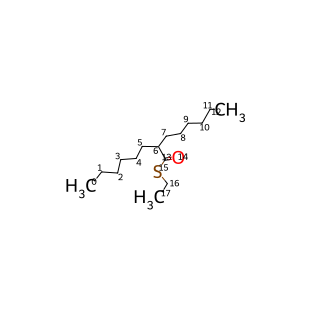 CCCCCCC(CCCCCC)C(=O)SCC